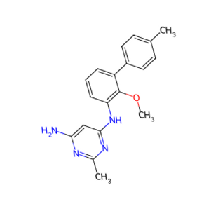 COc1c(Nc2cc(N)nc(C)n2)cccc1-c1ccc(C)cc1